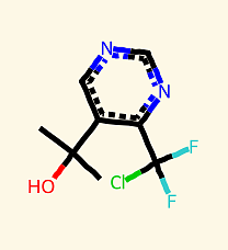 CC(C)(O)c1cncnc1C(F)(F)Cl